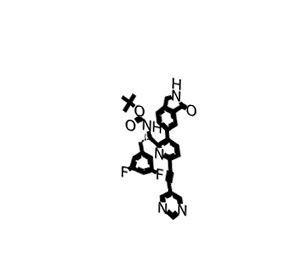 CC(C)(C)OC(=O)N[C@@H](Cc1cc(F)cc(F)c1)c1nc(C#Cc2cncnc2)ccc1-c1ccc2c(c1)C(=O)NC2